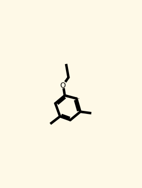 CCOc1[c]c(C)cc(C)c1